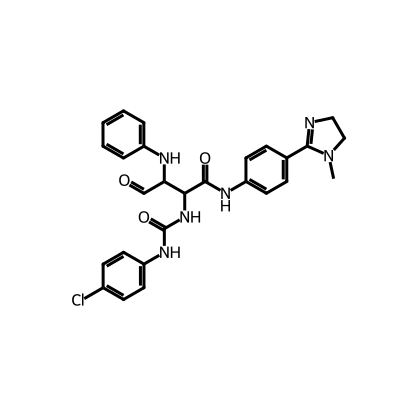 CN1CCN=C1c1ccc(NC(=O)C(NC(=O)Nc2ccc(Cl)cc2)C(C=O)Nc2ccccc2)cc1